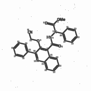 COC(=O)N(NC(=O)c1c(OCC#N)c(-c2ccccc2)nc2ccccc12)c1ccccc1